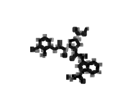 COC(=O)[C@H]1C[C@@H](C(=O)NCc2cccc(Br)c2F)N(C(=O)Nc2cn(C(N)=O)c3ccccc23)C1